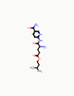 CC(C)CCOC(=O)CC[C@H](N)C(=O)Nc1ccc(C(N)=O)cn1